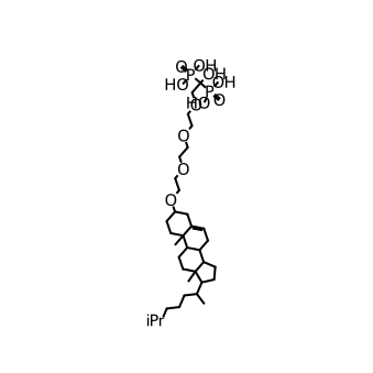 CC(C)CCCC(C)C1CCC2C3CC=C4CC(OCCOCCOCCOCC(O)(P(=O)(O)O)P(=O)(O)O)CCC4(C)C3CCC12C